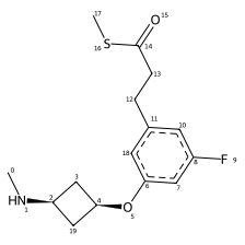 CN[C@H]1C[C@@H](Oc2cc(F)cc(CCC(=O)SC)c2)C1